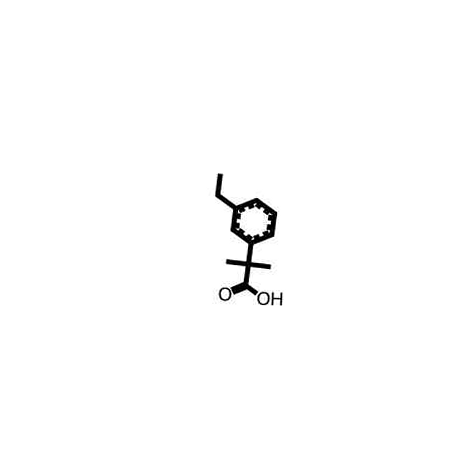 CCc1cccc(C(C)(C)C(=O)O)c1